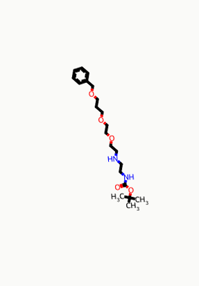 CC(C)(C)OC(=O)NCCNCCOCCOCCCOCc1ccccc1